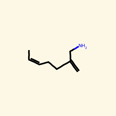 C=C(CN)CC/C=C\C